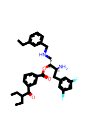 CCc1cccc(CNC[C@@H](OC(=O)c2cccc(C(=O)C(CC)CC)c2)[C@@H](N)Cc2cc(F)cc(F)c2)c1